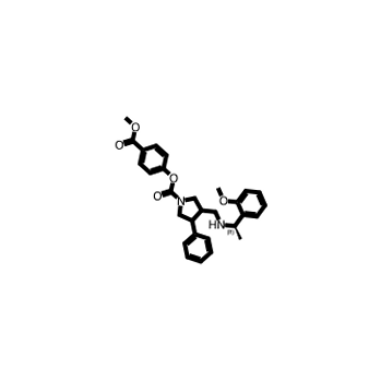 COC(=O)c1ccc(OC(=O)N2CC(CN[C@H](C)c3ccccc3OC)C(c3ccccc3)C2)cc1